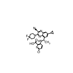 C[C@@H](Nc1ccc(Cl)nc1C(=O)O)c1cc(C2CC2)cc2nc(C#N)c(N3CCC(F)(F)CC3)nc12